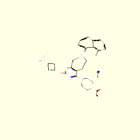 C=CC(=O)N1CCN(c2nc(O[C@H]3C[C@@H](N(C)C)C3)nc3c2CCN(c2cccc4cccc(C)c24)C3)C[C@@H]1CC#N